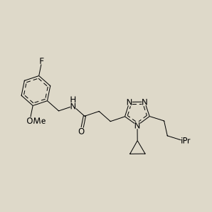 COc1ccc(F)cc1CNC(=O)CCc1nnc(CCC(C)C)n1C1CC1